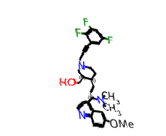 COc1ccc2nccc([C@H](CC[C@@H]3CCN(CC#Cc4cc(F)cc(F)c4F)C[C@@H]3CO)N(C)C)c2c1